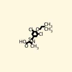 Cc1nc(-c2cc(Cl)c(OCCC(C)C)c(Cl)c2)sc1C(=O)O